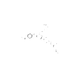 COC(=O)c1ccc(NC(=O)[C@@H]2C[C@H](N3CCNCC3)CN2C(=O)C2CCC(CNC(=O)OCC(C)C)CC2)cc1